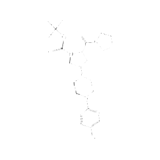 CC(C)(C)OC(=O)N1CC(N2CCN(c3ccc(Cl)cn3)CC2)CC1C(=O)N1CCSC1